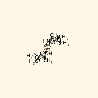 COC(=O)N[C@@H](CCSC)C(=O)N1C[C@H](C)C[C@H]1c1nc2cc(-c3cc4ccc3CCc3ccc(c(-c5ccc6[nH]c([C@@H]7C[C@@H](C)CN7C(=O)[C@H](CCSC)NC(=O)OC)nc6c5)c3)CC4)ccc2[nH]1